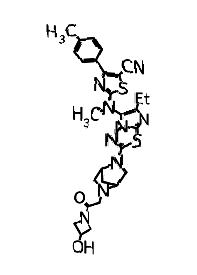 CCc1nc2sc(N3CC4CC3CN4CC(=O)N3CC(O)C3)nn2c1N(C)c1nc(-c2ccc(C)cc2)c(C#N)s1